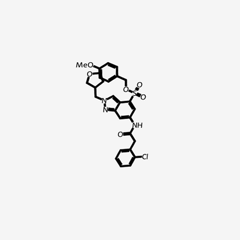 COc1ccc(COS(=O)(=O)c2cc(NC(=O)Cc3ccccc3Cl)cc3nn(CC4CCOC4)cc23)cc1